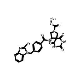 CC(C)c1nc2ccccc2n1Cc1ccc(C(=O)NC2CN(C(=O)OC(C)(C)C)CC23C(=O)NC(=O)NC3=O)cc1